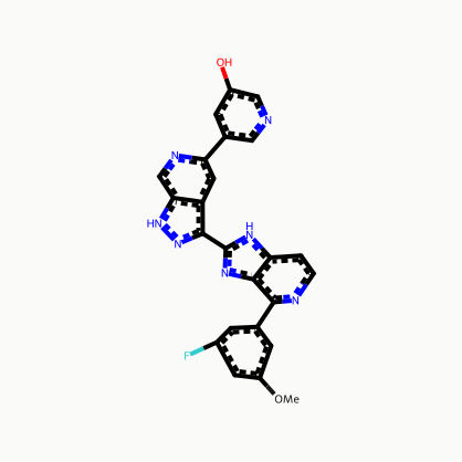 COc1cc(F)cc(-c2nccc3[nH]c(-c4n[nH]c5cnc(-c6cncc(O)c6)cc45)nc23)c1